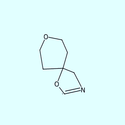 [C]1=NCC2(CCOCC2)O1